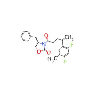 C=C(CCC(=O)N1C(=O)OC[C@H]1Cc1ccccc1)c1cc(C)c(F)cc1F